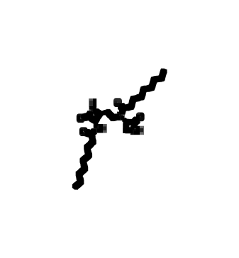 CCCCCCCCC(=O)N[C@@H]1C(=O)N[C@H]1CCN(C(=O)CCCCCCCC)[C@H]1CNC1=O